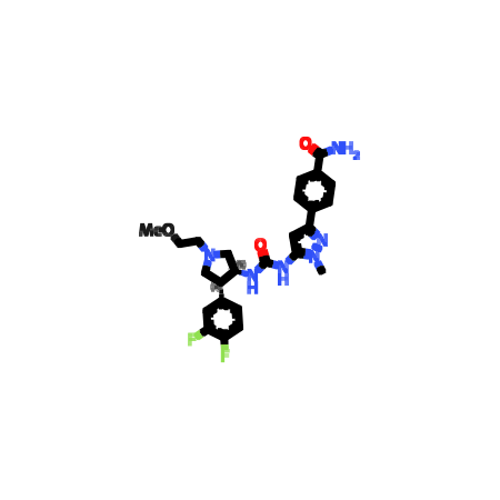 COCCN1C[C@@H](NC(=O)Nc2cc(-c3ccc(C(N)=O)cc3)nn2C)[C@H](c2ccc(F)c(F)c2)C1